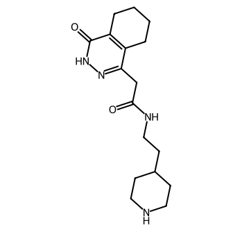 O=C(Cc1n[nH]c(=O)c2c1CCCC2)NCCC1CCNCC1